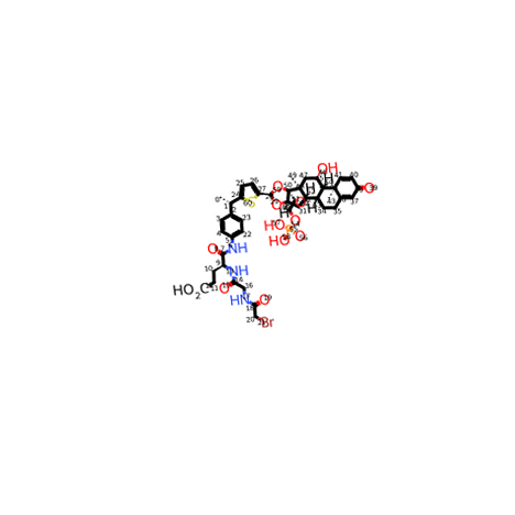 C[C@@H](c1ccc(NC(=O)[C@H](CCC(=O)O)NC(=O)CNC(=O)CBr)cc1)c1ccc([C@@H]2O[C@@H]3C[C@H]4[C@@H]5CCC6=CC(=O)C=C[C@]6(C)[C@H]5[C@@H](O)C[C@]4(C)[C@]3(C(=O)COP(=O)(O)O)O2)s1